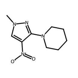 Cn1cc([N+](=O)[O-])c(N2CCCCC2)n1